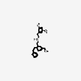 COCc1ccc(/C=C\c2ccccc2)c(CCNCCc2cc(OC)cc(OC)c2)c1